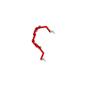 CCCCCCCC/C=C\CCCCCCCC(=O)OCc1ccc(CC(=O)CCCC2CCN(CCSSCCN3CCC(CCOC(=O)Cc4ccc(COC(=O)CCCCCCC/C=C\CCCCCCCC)cc4)CC3)CC2)cc1